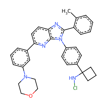 Cc1ccccc1-c1nc2ccc(-c3cccc(N4CCOCC4)c3)nc2n1-c1ccc(C2(NCl)CCC2)cc1